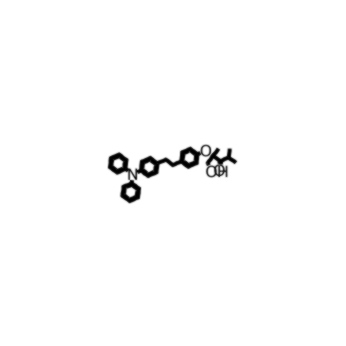 CC(C)C(=O)C(C)(CO)Oc1ccc(CCc2ccc(N(c3ccccc3)c3ccccc3)cc2)cc1